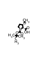 CO[C@H]1CCN(C(=O)OC(C)(C)C)[C@H]1C(=O)O